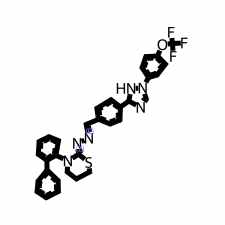 FC(F)(F)Oc1ccc(N2C=NC(c3ccc(/C=N/N=C4\SCCCN4c4ccccc4-c4ccccc4)cc3)N2)cc1